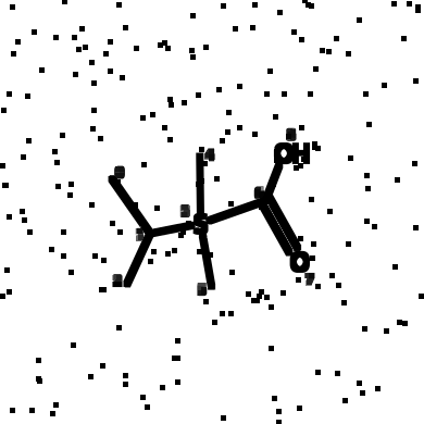 CC(C)S(C)(C)C(=O)O